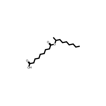 CCCCCCCC(C)OC(=O)CCCCCCCC(=O)O